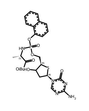 CC(C)COC(=O)[C@H](C)NP(=O)(OC[C@H]1S[C@@H](n2cnc(N)nc2=O)CC1O)Oc1cccc2ccccc12